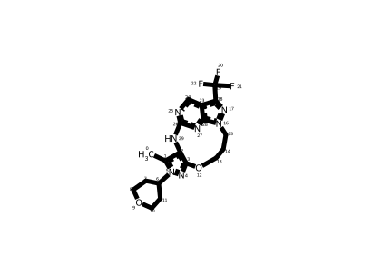 Cc1c2c(nn1C1CCOCC1)OCCCn1nc(C(F)(F)F)c3cnc(nc31)N2